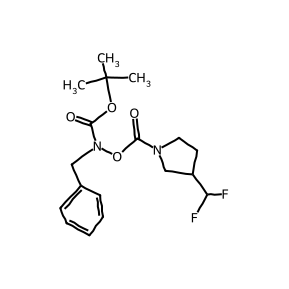 CC(C)(C)OC(=O)N(Cc1ccccc1)OC(=O)N1CCC(C(F)F)C1